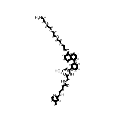 Cc1ccnc(NCCCC(=O)NCC(=O)N[C@@H](CC(=O)O)c2cccc(-c3cccc4c(OCCOCCOCCOCCOCCN)cccc34)c2)c1